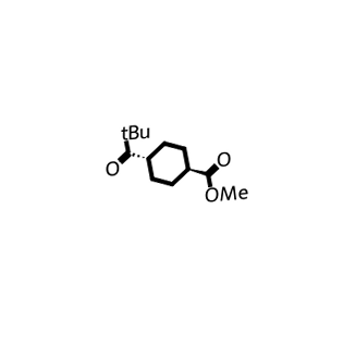 COC(=O)[C@H]1CC[C@H](C(=O)C(C)(C)C)CC1